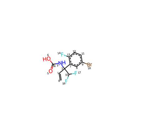 C=CC(NC(=O)O)(c1cc(Br)ccc1F)C(F)F